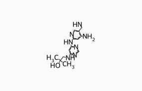 CC(C)(O)CNc1cc(Nc2cc(N)c(C=N)cn2)ncn1